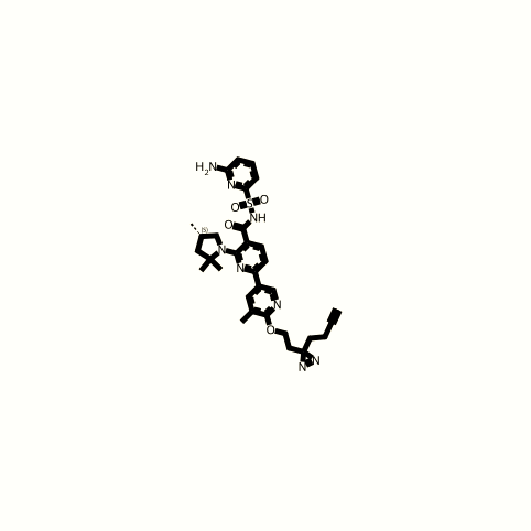 C#CCCC1(CCOc2ncc(-c3ccc(C(=O)NS(=O)(=O)c4cccc(N)n4)c(N4C[C@@H](C)CC4(C)C)n3)cc2C)N=N1